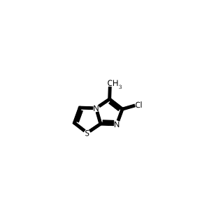 Cc1c(Cl)nc2sccn12